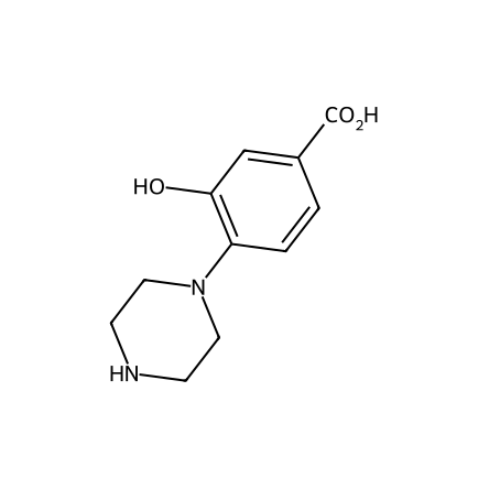 O=C(O)c1ccc(N2CCNCC2)c(O)c1